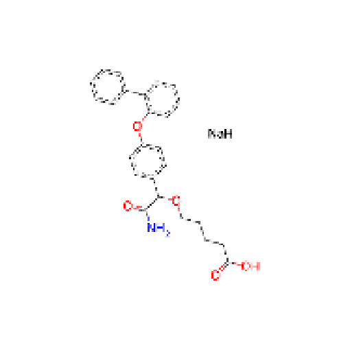 NC(=O)C(OCCCCC(=O)O)c1ccc(Oc2ccccc2-c2ccccc2)cc1.[NaH]